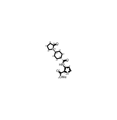 COC(=O)c1sccc1NC(=O)[C@H]1CC[C@H](N2CCCC2=O)CC1